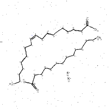 CCCCCCCC/C=C\CCCCCCCC(=O)[O-].CCCCCCCCCCCCCC(=O)[O-].[K+].[K+]